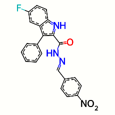 O=C(NN=Cc1ccc([N+](=O)[O-])cc1)c1[nH]c2ccc(F)cc2c1-c1ccccc1